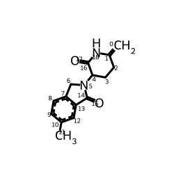 C=C1CCC(N2Cc3ccc(C)cc3C2=O)C(=O)N1